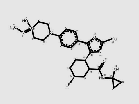 CN=[SH]1(O)CCN(c2ccc(-c3oc(C(C)(C)C)nc3[C@@H]3CC[C@H](F)CC3C(=O)NC3(C#N)CC3)cc2)CC1